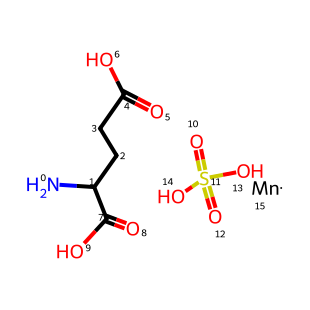 NC(CCC(=O)O)C(=O)O.O=S(=O)(O)O.[Mn]